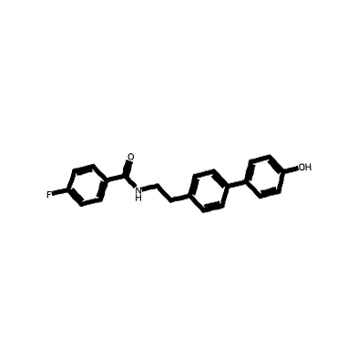 O=C(NCCc1ccc(-c2ccc(O)cc2)cc1)c1ccc(F)cc1